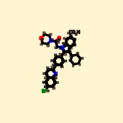 O=C(O)c1ccc2c(C3CCCCC3)c(-c3ccc(-c4ccc5cc(Br)ccc5n4)cc3)n(CC(=O)N3CCOCC3)c2c1